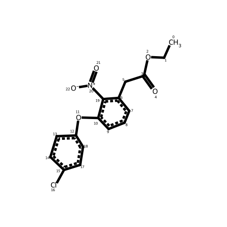 CCOC(=O)Cc1cccc(Oc2ccc(Cl)cc2)c1[N+](=O)[O-]